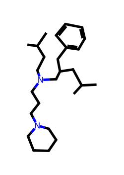 CC(C)CCN(CCCN1CCCCC1)CC(Cc1ccccc1)CC(C)C